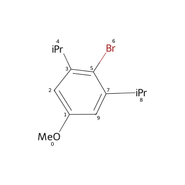 COc1cc(C(C)C)c(Br)c(C(C)C)c1